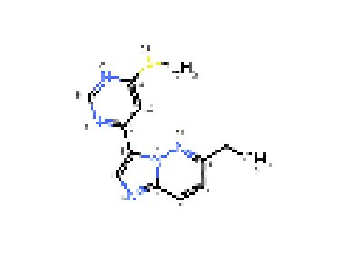 CCc1ccc2ncc(-c3cc(SC)ncn3)n2n1